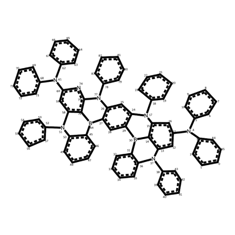 c1ccc(N(c2ccccc2)c2cc3c4c(c2)N(c2ccccc2)c2cc5c(cc2B4c2ccccc2N3c2ccccc2)B2c3ccccc3N(c3ccccc3)c3cc(N(c4ccccc4)c4ccccc4)nc(c32)N5c2ccccc2)cc1